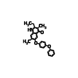 CCc1[nH]c2cc(C)c(Oc3ccc(Oc4ccccc4)cc3)cc2c(=O)c1C